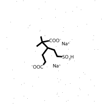 CC(C)(C(=O)[O-])C(CCC(=O)[O-])CCS(=O)(=O)O.[Na+].[Na+]